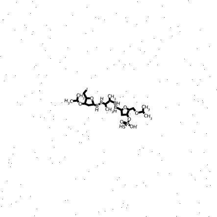 CC(C)OCC1OC(BBC(C)C(C)BBC2CC(OC(C)C)C(CI)O2)CC1OP(=O)(O)S